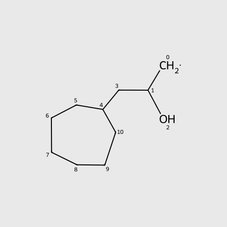 [CH2]C(O)CC1CCCCCC1